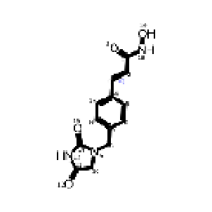 O=C(/C=C/c1ccc(CN2CC(=O)NC2=O)cc1)NO